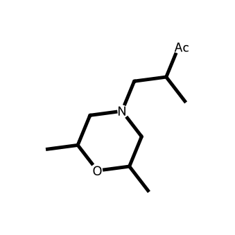 CC(=O)C(C)CN1CC(C)OC(C)C1